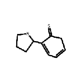 S=C1CC=CC=C1C1CCC[N]1